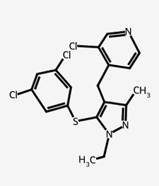 CCn1nc(C)c(Cc2ccncc2Cl)c1Sc1cc(Cl)cc(Cl)c1